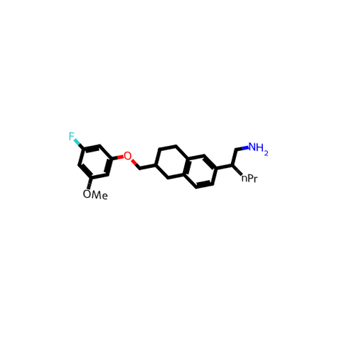 CCCC(CN)c1ccc2c(c1)CCC(COc1cc(F)cc(OC)c1)C2